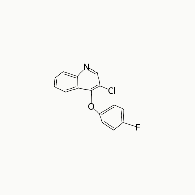 Fc1ccc(Oc2c(Cl)cnc3ccccc23)cc1